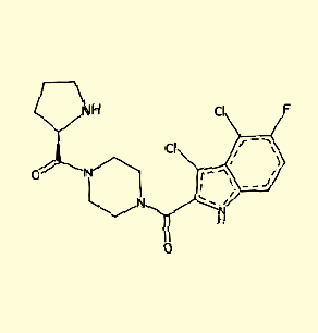 O=C(c1[nH]c2ccc(F)c(Cl)c2c1Cl)N1CCN(C(=O)[C@H]2CCCN2)CC1